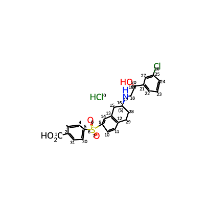 Cl.O=C(O)c1ccc(S(=O)(=O)c2ccc3c(c2)C[C@@H](NC[C@H](O)c2cccc(Cl)c2)CC3)cc1